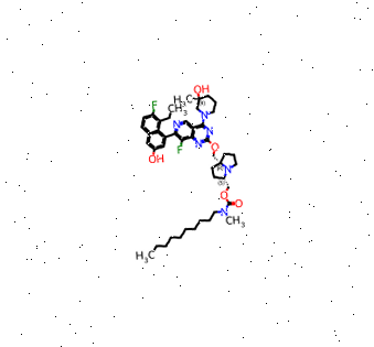 CCCCCCCCCCN(C)C(=O)OC[C@@H]1CC[C@@]2(COc3nc(N4CCC[C@@](C)(O)C4)c4cnc(-c5cc(O)cc6ccc(F)c(CC)c56)c(F)c4n3)CCCN12